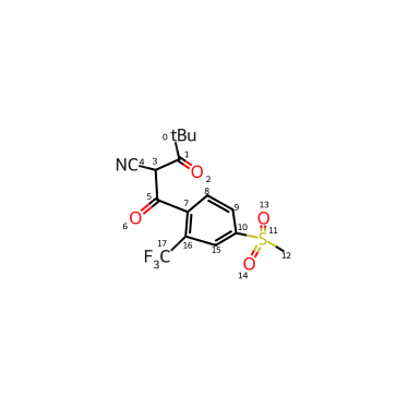 CC(C)(C)C(=O)C(C#N)C(=O)c1ccc(S(C)(=O)=O)cc1C(F)(F)F